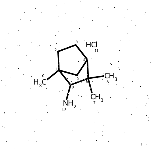 CC12CCC(C1)C(C)(C)C2N.Cl